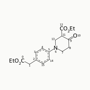 CCOC(=O)Cc1ccc(N2CCC(=O)C(C(=O)OCC)C2)cc1